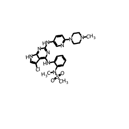 CN1CCN(c2ccc(Nc3nc(Nc4ccccc4N(C)S(C)(=O)=O)c4c(Cl)c[nH]c4n3)cn2)CC1